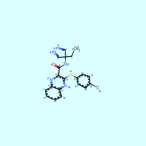 CCC(C=N)(C=N)NC(=O)c1nc2ccccc2nc1Sc1ccc(Cl)cc1